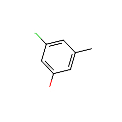 Cc1cc(O)[c]c(Cl)c1